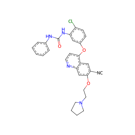 [C-]#[N+]c1cc2c(Oc3ccc(Cl)c(NC(=O)Nc4ccccc4)c3)ccnc2cc1OCCN1CCCC1